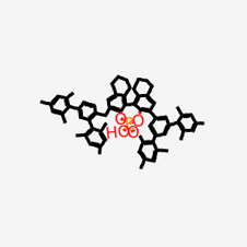 Cc1cc(C)c(-c2cc(-c3cc4c(c5c3OP(=O)(O)Oc3c(Cc6ccc(-c7c(C)cc(C)cc7C)cc6-c6c(C)cc(C)cc6C)cc6c(c3-5)CCCC6)CCCC4)cc(-c3c(C)cc(C)cc3C)c2)c(C)c1